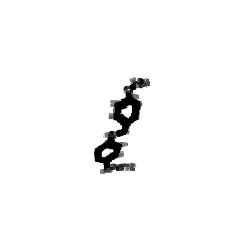 CCCCCc1ccc(/N=C/c2ccc(OCCCC)cc2)cc1